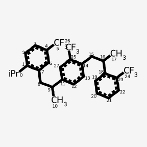 CC(C)c1ccc(C(F)(F)F)cc1CC(C)c1ccc(CC(C)c2ccccc2C(F)(F)F)c(C(F)(F)F)c1